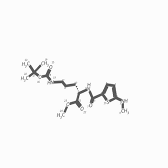 CNc1ccc(C(=O)N[C@@H](CCCNC(=O)OC(C)(C)C)C(=O)OC)s1